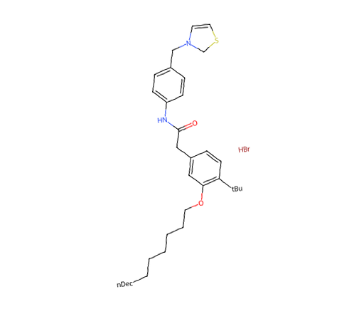 Br.CCCCCCCCCCCCCCCCOc1cc(CC(=O)Nc2ccc(CN3C=CSC3)cc2)ccc1C(C)(C)C